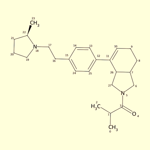 CC(C)C(=O)N1CC2CCC=C(c3ccc(CCN4CCC[C@H]4C)cc3)C2C1